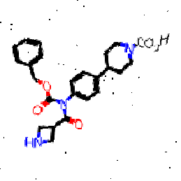 O=C(O)N1CCC(c2ccc(N(C(=O)OCc3ccccc3)C(=O)C3CNC3)cc2)CC1